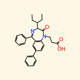 CCC(CC)C1N=C(c2ccccc2)c2cc(-c3ccccc3)ccc2N(CCC(=O)O)C1=O